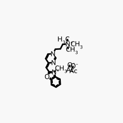 CC(=O)[O-].CC(=O)[O-].C[n+]1c(/C=C2/C=CN(CCC[N+](C)(C)C)C=N2)oc2ccccc21